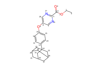 CCOC(=O)c1ncc(Oc2ccc(C34CC5CC(CC(C5)C3)C4)cc2)cn1